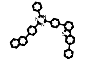 c1ccc(-c2ccc3c(c2)sc2c(-c4ccc(-c5nc(-c6ccccc6)nc(-c6ccc(-c7ccc8ccccc8c7)cc6)n5)cc4)cccc23)cc1